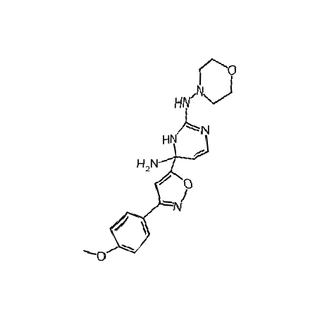 COc1ccc(-c2cc(C3(N)C=CN=C(NN4CCOCC4)N3)on2)cc1